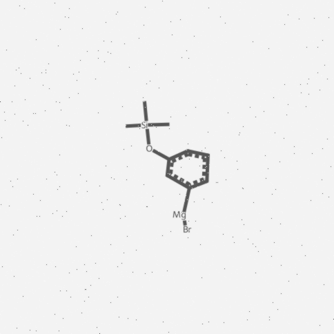 C[Si](C)(C)Oc1ccc[c]([Mg][Br])c1